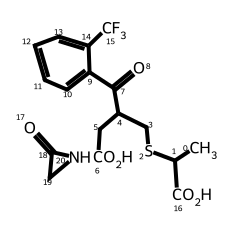 CC(SCC(CC(=O)O)C(=O)c1ccccc1C(F)(F)F)C(=O)O.O=C1CN1